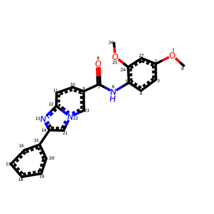 COc1ccc(NC(=O)c2ccc3nc(-c4ccccc4)cn3c2)c(OC)c1